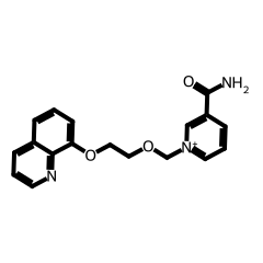 NC(=O)c1ccc[n+](COCCOc2cccc3cccnc23)c1